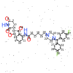 O=C1CCC(C2C(=O)c3cccc(NC(=O)CCCCCN4CCN(C(c5ccc(F)cc5)c5ccc(F)cc5)CC4)c3C2=O)C(=O)N1